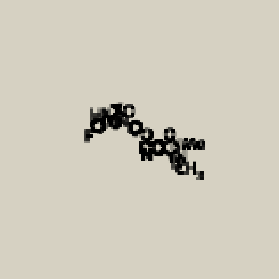 CNC(=O)c1cc2c(Oc3ccc(NC(=O)C4(C(=O)Nc5ccc(F)cc5)CC4)cc3)ccnc2cc1-c1cnn(C)c1